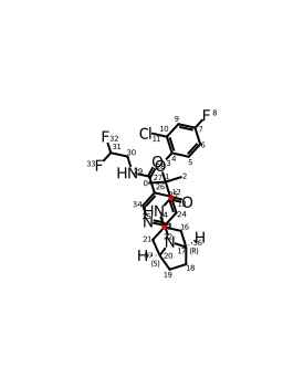 CC(C)(Oc1ccc(F)cc1Cl)C(=O)N[C@H]1C[C@H]2CC[C@@H](C1)N2c1ccc(C(=O)NCC(F)F)cn1